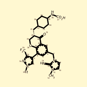 CCn1cc(-c2cc(Cn3ccn(C)c3=N)cc3c2OC[C@H](CC2CCC(NC(=O)O)CC2)C3=O)c(C(F)(F)F)n1